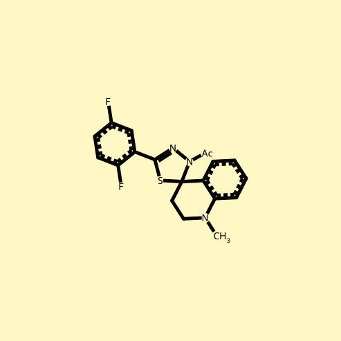 CC(=O)N1N=C(c2cc(F)ccc2F)SC12CCN(C)c1ccccc12